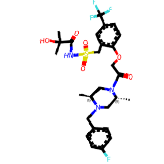 C[C@@H]1CN(Cc2ccc(F)cc2)[C@@H](C)CN1C(=O)COc1ccc(C(F)(F)F)cc1CS(=O)(=O)NC(=O)C(C)(C)O